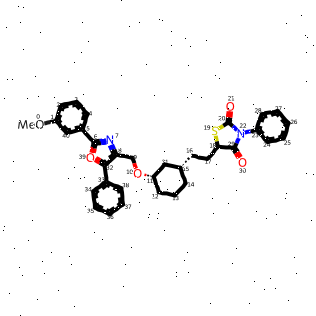 COc1cccc(-c2nc(CO[C@H]3CCC[C@@H](CCC4SC(=O)N(c5ccccc5)C4=O)C3)c(-c3ccccc3)o2)c1